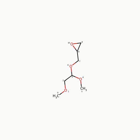 CO[CH]C(OC)OCC1CO1